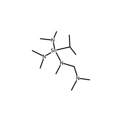 C[CH](C)[Sn]([N](C)C)([N](C)C)[N](C)CN(C)C